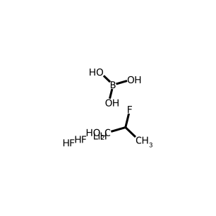 CC(F)C(=O)O.F.F.OB(O)O.[LiH]